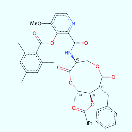 COc1ccnc(C(=O)N[C@H]2COC(=O)[C@H](Cc3ccccc3)[C@@H](OC(=O)C(C)C)[C@H](C)OC2=O)c1OC(=O)c1c(C)cc(C)cc1C